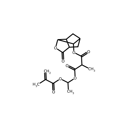 C=C(C)C(=O)OC(C)OC(=O)C(C)C(=O)OC1C2CC3C(=O)OC1C3C2